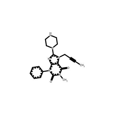 CC#CCn1c(N2CCNCC2)nc2c1c(=O)n(C)c(=O)n2-c1ccccc1